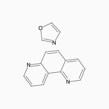 c1cnc2c(c1)ccc1ncccc12.c1cocn1